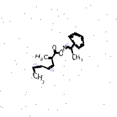 C=C(/C=C\C=C/C)C(=O)O/N=C(\C)c1ccccc1